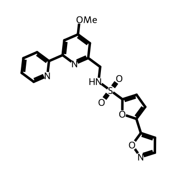 COc1cc(CNS(=O)(=O)c2ccc(-c3ccno3)o2)nc(-c2ccccn2)c1